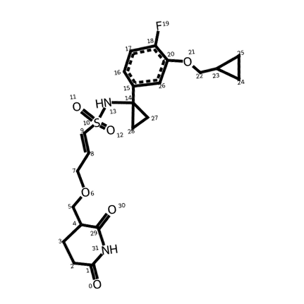 O=C1CCC(COC/C=C/S(=O)(=O)NC2(c3ccc(F)c(OCC4CC4)c3)CC2)C(=O)N1